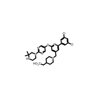 CC1(C)CN(c2ncc(Oc3cc(CN4CCC(CC(=O)O)CC4)cc(-c4cc(Cl)cc(Cl)c4)n3)cn2)CCN1